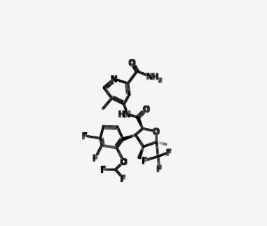 Cc1cnc(C(N)=O)cc1NC(=O)[C@H]1O[C@@](C)(C(F)(F)F)[C@@H](C)[C@H]1c1ccc(F)c(F)c1OC(F)F